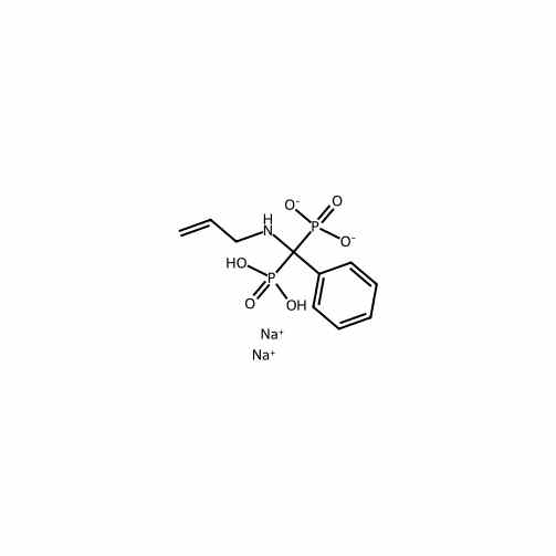 C=CCNC(c1ccccc1)(P(=O)([O-])[O-])P(=O)(O)O.[Na+].[Na+]